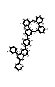 c1ccc(-c2cc(-c3ccccn3)nc3ccc(-c4ccc(-c5ccc6c(c5)Cc5ccccc5-c5ccccc5Cc5ccccc5-6)cc4)cc23)cc1